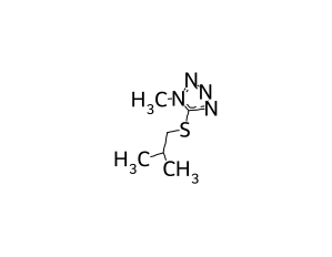 CC(C)CSc1nnnn1C